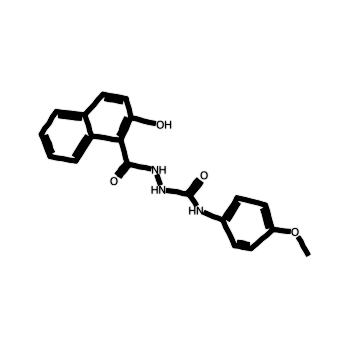 COc1ccc(NC(=O)NNC(=O)c2c(O)ccc3ccccc23)cc1